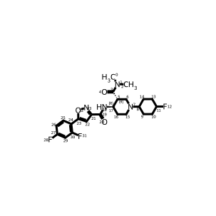 CN(C)C(=O)[C@@H]1CN(C2CCC(F)CC2)CC[C@H]1NC(=O)c1cc(-c2ccc(F)cc2F)on1